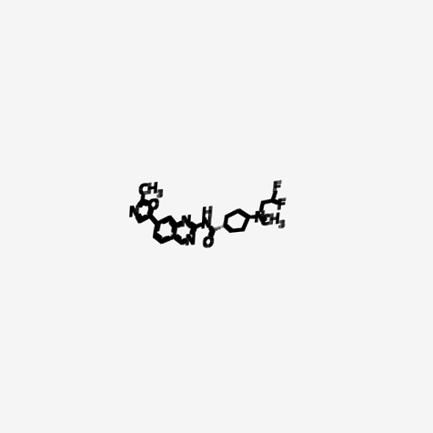 Cc1ncc(-c2ccc3cnc(NC(=O)[C@H]4CC[C@H](N(C)CC(F)F)CC4)nc3c2)o1